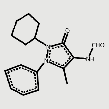 Cc1c(NC=O)c(=O)n(C2CCCCC2)n1-c1ccccc1